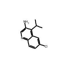 CC(C)c1c(N)cnc2ccc(Cl)cc12